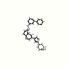 c1ccc(-c2cccc(COn3ccc4ncc(-c5cnn(C6CCNCC6)c5)cc43)c2)cc1